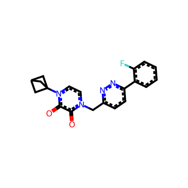 O=c1c(=O)n(C23CC(C2)C3)ccn1Cc1ccc(-c2ccccc2F)nn1